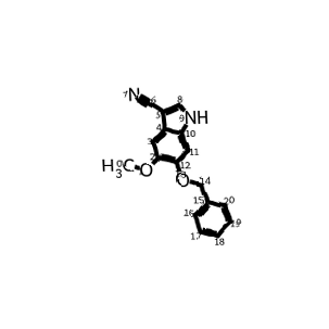 COc1cc2c(C#N)c[nH]c2cc1OCc1ccccc1